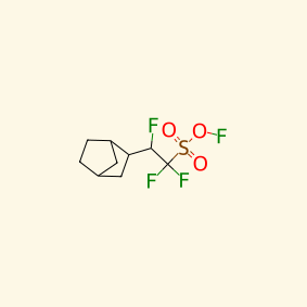 O=S(=O)(OF)C(F)(F)C(F)C1CC2CCC1C2